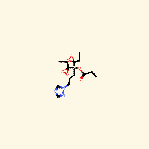 CCC(=O)O[Si](CCCn1cncn1)(C1(CC)OO1)C1(CC)OO1